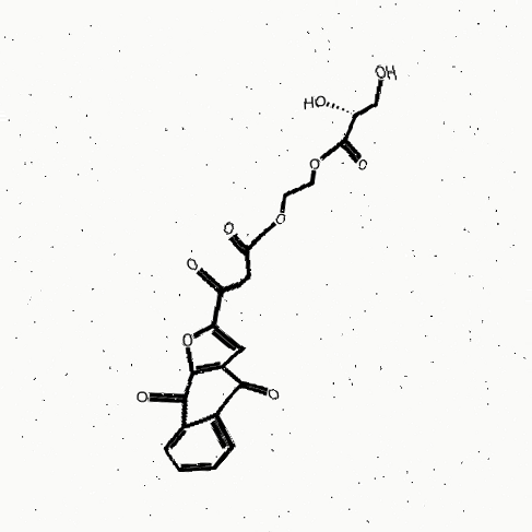 O=C(CC(=O)c1cc2c(o1)C(=O)c1ccccc1C2=O)OCCOC(=O)[C@H](O)CO